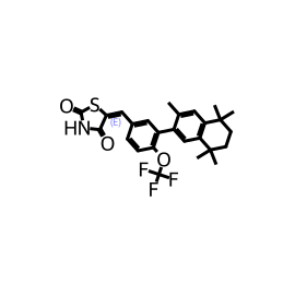 Cc1cc2c(cc1-c1cc(/C=C3/SC(=O)NC3=O)ccc1OC(F)(F)F)C(C)(C)CCC2(C)C